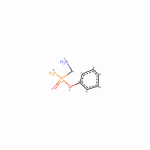 NCP(=O)(P)Oc1ccccc1